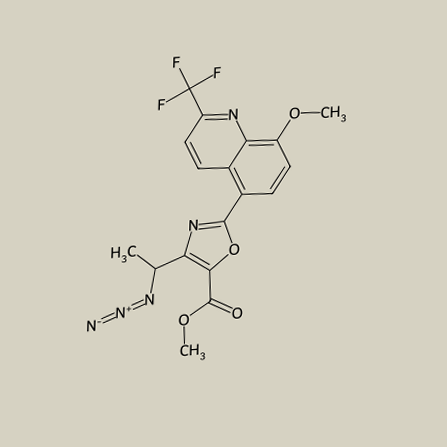 COC(=O)c1oc(-c2ccc(OC)c3nc(C(F)(F)F)ccc23)nc1C(C)N=[N+]=[N-]